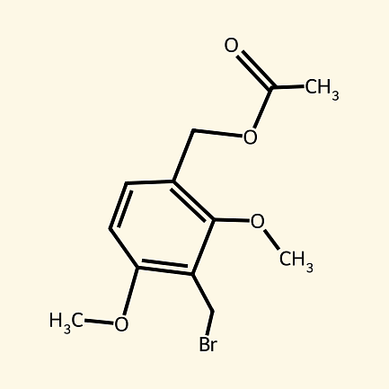 COc1ccc(COC(C)=O)c(OC)c1CBr